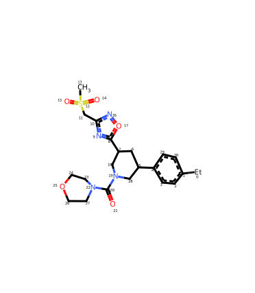 CCc1ccc(C2CC(c3nc(CS(C)(=O)=O)no3)CN(C(=O)N3CCOCC3)C2)cc1